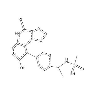 B=S(C)(=O)NC(C)c1ccc(-c2c(O)ccc3[nH]c(=O)c4sccc4c23)cc1